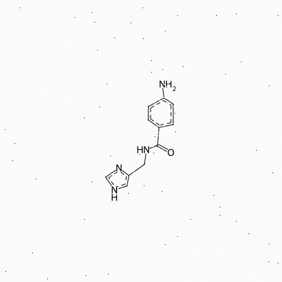 Nc1ccc(C(=O)NCc2c[nH]cn2)cc1